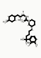 COC(O)(CCCC[C@@H]1CCCN(C(=O)N[C@@H](C)[C@H](O)CC2CCC(N)CC2)C1)c1cccc(Cl)c1F